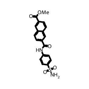 COC(=O)c1ccc2cc(C(=O)Nc3ccc(S(N)(=O)=O)cc3)ccc2c1